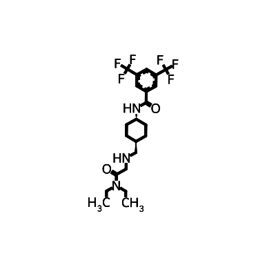 CCN(CC)C(=O)CNC[C@H]1CC[C@H](NC(=O)c2cc(C(F)(F)F)cc(C(F)(F)F)c2)CC1